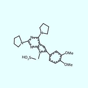 COc1ccc(-c2cc3c(N4CCCC4)nc(N4CCCC4)nc3n2C)cc1OC.CS(=O)(=O)O